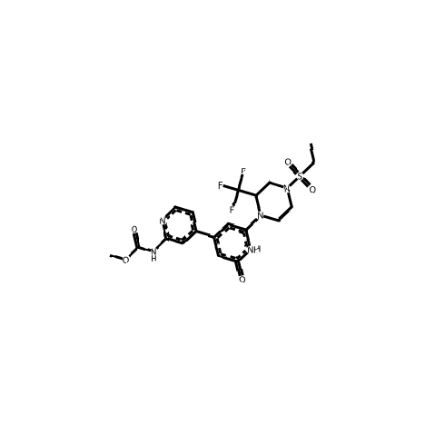 CCS(=O)(=O)N1CCN(c2cc(-c3ccnc(NC(=O)OC)c3)cc(=O)[nH]2)C(C(F)(F)F)C1